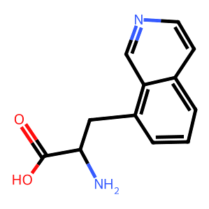 NC(Cc1cccc2ccncc12)C(=O)O